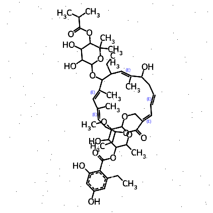 CCc1cc(O)cc(O)c1C(=O)OC1C(C)OC(OC/C2=C\C=C\CC(O)/C(C)=C/C(CC)C(OC3OC(C)(C)C(OC(=O)C(C)C)C(O)C3O)/C(C)=C/C(C)=C/CC(CC)OC2=O)C(OC)C1O